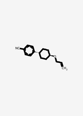 C=CCO[C@H]1CC[C@H](c2ccc(C#N)cc2)CC1